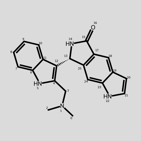 CN(C)Cc1[nH]c2ccccc2c1[C@@H]1NC(=O)c2cc3cc[nH]c3cc21